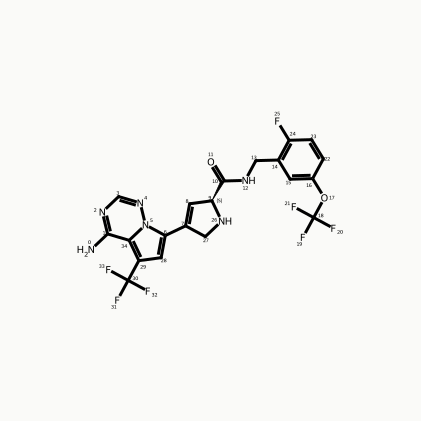 Nc1ncnn2c(C3=C[C@@H](C(=O)NCc4cc(OC(F)(F)F)ccc4F)NC3)cc(C(F)(F)F)c12